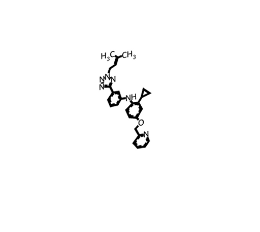 CC(C)=CCn1nnc(-c2cccc(Nc3ccc(OCc4ccccn4)cc3C3CC3)c2)n1